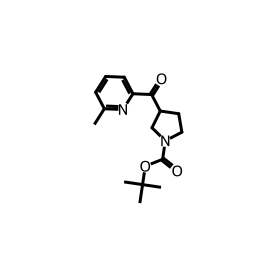 Cc1cccc(C(=O)C2CCN(C(=O)OC(C)(C)C)C2)n1